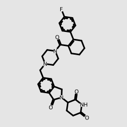 O=C1CCC(N2Cc3cc(CN4CCN(C(=O)C5=C(c6ccc(F)cc6)CCCC5)CC4)ccc3C2=O)C(=O)N1